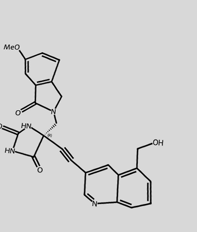 COc1ccc2c(c1)C(=O)N(C[C@@]1(C#Cc3cnc4cccc(CO)c4c3)NC(=O)NC1=O)C2